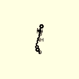 COc1ccc2c(c1)CC(CCCNCCCOc1nnc(-c3ccccc3)n1C)C2